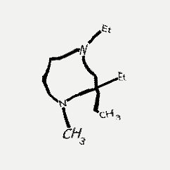 CCN1CCN(C)C1(C)CC